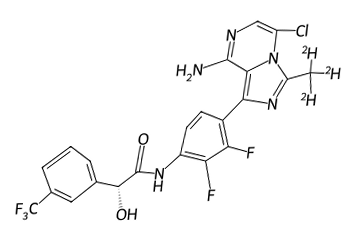 [2H]C([2H])([2H])c1nc(-c2ccc(NC(=O)[C@H](O)c3cccc(C(F)(F)F)c3)c(F)c2F)c2c(N)ncc(Cl)n12